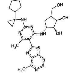 Cc1nc(NC2(C3CCCC3)CC2)nc(N[C@@H]2C[C@H](CO)[C@@H](O)[C@H]2O)c1-c1nc2c(C)nccc2s1